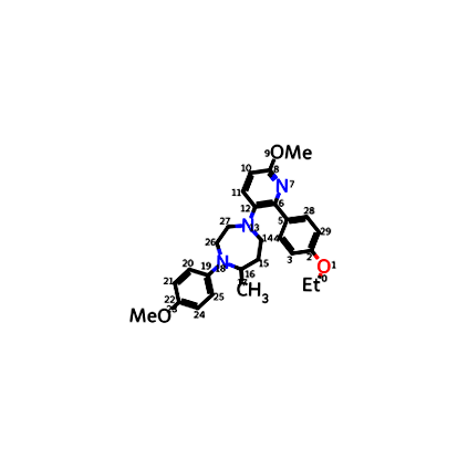 CCOc1ccc(-c2nc(OC)ccc2N2CCC(C)N(c3ccc(OC)cc3)CC2)cc1